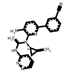 C=C1C[C@H]1N(C(=C)Nc1cc#cnn1)c1nc(-c2cccc(C#N)c2)ccc1N